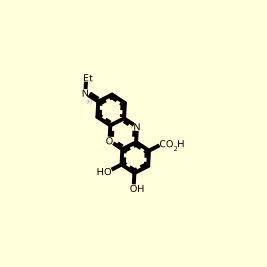 CC/N=c1\ccc2nc3c(C(=O)O)cc(O)c(O)c3oc-2c1